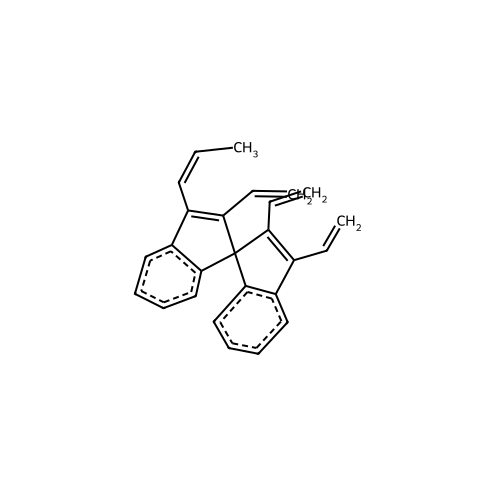 C=CC1=C(C=C)C2(C(C=C)=C(/C=C\C)c3ccccc32)c2ccccc21